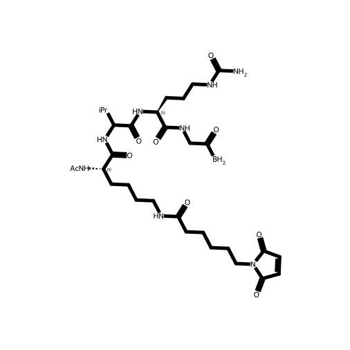 BC(=O)CNC(=O)[C@H](CCCNC(N)=O)NC(=O)C(NC(=O)[C@H](CCCCNC(=O)CCCCCN1C(=O)C=CC1=O)NC(C)=O)C(C)C